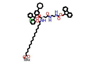 CC(C)(C)OC(=O)CCCCCCCCCCCCCCCCC(=O)N[C@@H](CCC(=O)NCCNC(=O)OCC1c2ccccc2-c2ccccc21)C(=O)OC(c1ccccc1)(c1ccc(C2CCCCCC2)cc1)c1ccccc1Cl